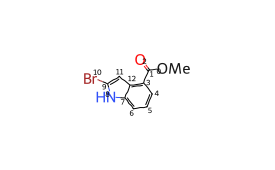 COC(=O)c1cccc2[nH]c(Br)cc12